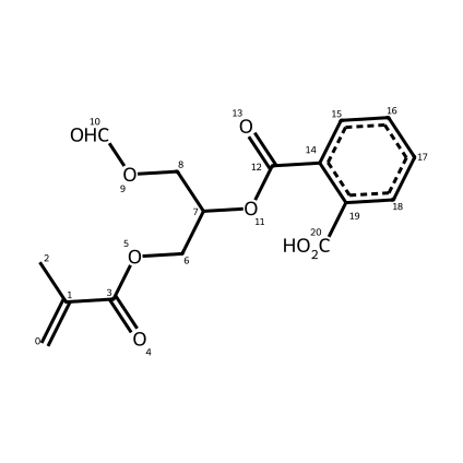 C=C(C)C(=O)OCC(COC=O)OC(=O)c1ccccc1C(=O)O